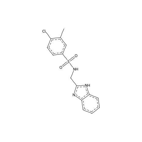 Cc1cc(S(=O)(=O)NCc2nc3ccccc3[nH]2)ccc1Cl